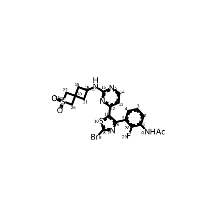 CC(=O)Nc1cccc(-c2nc(Br)sc2-c2ccnc(NC3CC4(C3)CS(=O)(=O)C4)n2)c1F